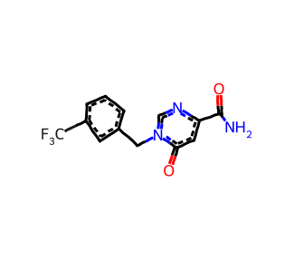 NC(=O)c1cc(=O)n(Cc2cccc(C(F)(F)F)c2)cn1